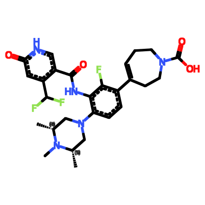 C[C@@H]1CN(c2ccc(C3=CCCN(C(=O)O)CC3)c(F)c2NC(=O)c2c[nH]c(=O)cc2C(F)F)C[C@H](C)N1C